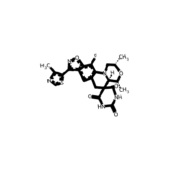 Cc1ncsc1-c1noc2c(F)c3c(cc12)CC1(C(=O)NC(=O)NC1=O)[C@@H]1[C@@H](C)O[C@@H](C)CN31